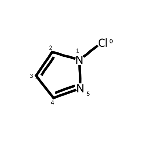 Cln1c[c]cn1